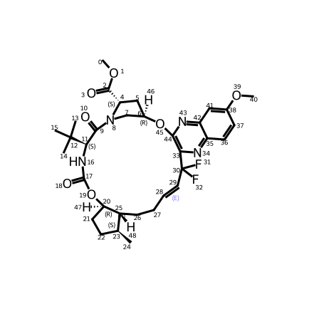 COC(=O)[C@@H]1C[C@@H]2CN1C(=O)[C@H](C(C)(C)C)NC(=O)O[C@@H]1CC[C@H](C)[C@H]1CC/C=C/C(F)(F)c1nc3ccc(OC)cc3nc1O2